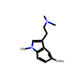 COc1ccc2c(c1)c(CCN(C)C)cn2N=O